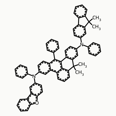 CC1(C)c2ccccc2-c2ccc(N(c3ccccc3)c3ccc4c(c3)C(C)(C)c3cccc5c3c-4c(-c3ccccc3)c3ccc(N(c4ccccc4)c4ccc6oc7ccccc7c6c4)cc35)cc21